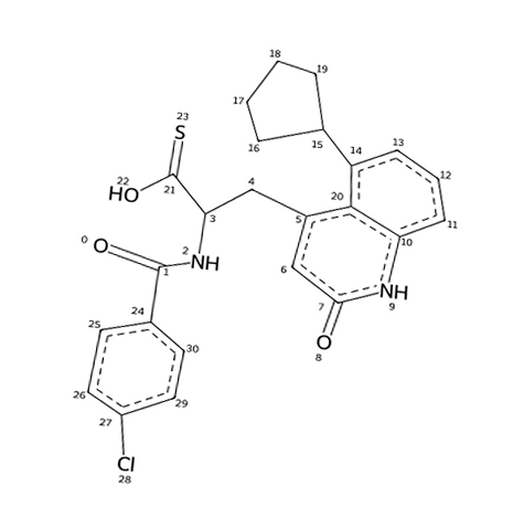 O=C(NC(Cc1cc(=O)[nH]c2cccc(C3CCCC3)c12)C(O)=S)c1ccc(Cl)cc1